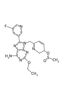 CCOc1nc(N)c2nc(-c3cncc(F)c3)n(CC3=NCC(OS(C)=O)C=C3)c2n1